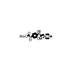 COC(=O)Nc1ccc(NC(=O)C[N+]2(C)CCN(C)CC2)c(O)c1.[Cl-]